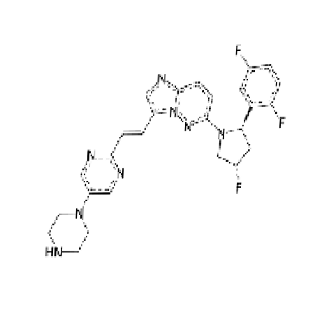 Fc1ccc(F)c([C@H]2C[C@H](F)CN2c2ccc3ncc(/C=C/c4ncc(N5CCNCC5)cn4)n3n2)c1